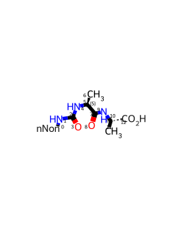 CCCCCCCCCNC(=O)N[C@@H](C)C(=O)N[C@@H](C)C(=O)O